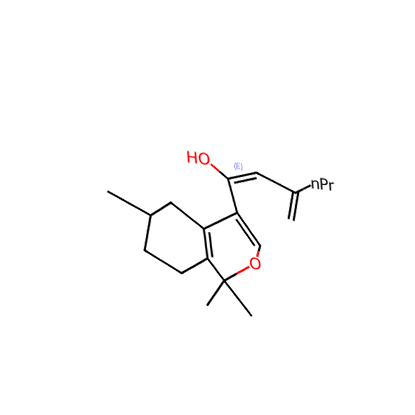 C=C(/C=C(/O)C1=COC(C)(C)C2=C1CC(C)CC2)CCC